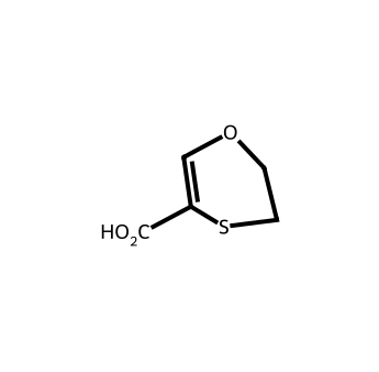 O=C(O)C1=COCCS1